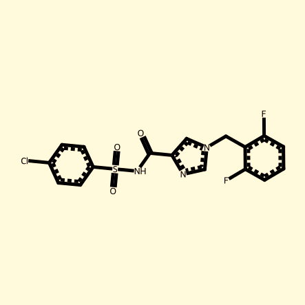 O=C(NS(=O)(=O)c1ccc(Cl)cc1)c1cn(Cc2c(F)cccc2F)cn1